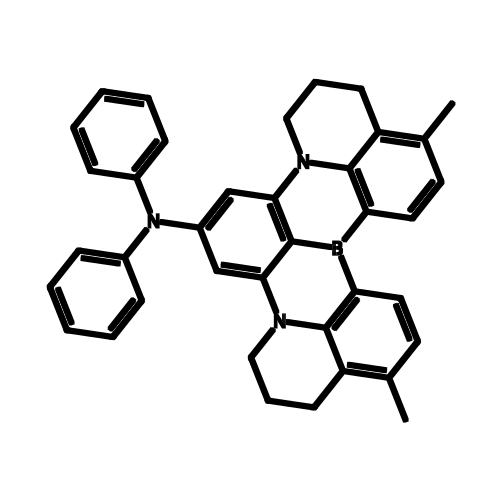 Cc1ccc2c3c1CCCN3c1cc(N(c3ccccc3)c3ccccc3)cc3c1B2c1ccc(C)c2c1N3CCC2